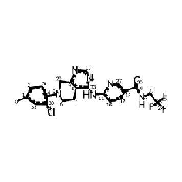 Cc1ccc(N2CCc3c(ncnc3Nc3ccc(C(=O)NCC(F)(F)F)cn3)C2)c(Cl)c1